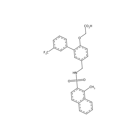 Cc1c(S(=O)(=O)NCc2ccc(OCC(=O)O)c(-c3cccc(C(F)(F)F)c3)c2)ccc2ccccc12